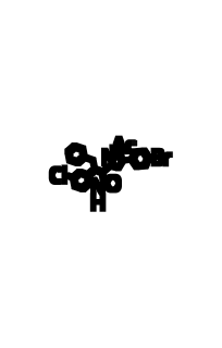 CC(=O)N1N=C(c2c(Cc3ccccc3)c3cc(Cl)ccc3[nH]c2=O)CC1c1ccc(Br)cc1